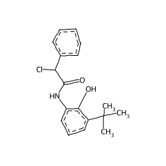 CC(C)(C)c1cccc(NC(=O)C(Cl)c2ccccc2)c1O